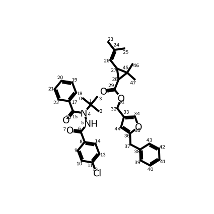 CC(C)(C)N(NC(=O)c1ccc(Cl)cc1)C(=O)c1ccccc1.CC(C)=CC1C(C(=O)OCc2coc(Cc3ccccc3)c2)C1(C)C